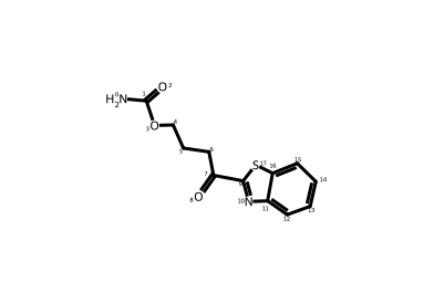 NC(=O)OCCCC(=O)c1nc2ccccc2s1